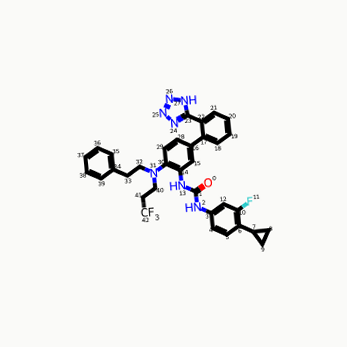 O=C(Nc1ccc(C2CC2)c(F)c1)Nc1cc(-c2ccccc2-c2nnn[nH]2)ccc1N(CCc1ccccc1)CCC(F)(F)F